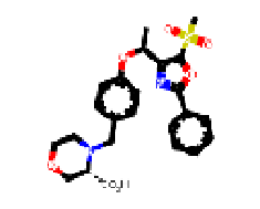 CC(Oc1ccc(CN2CCOC[C@H]2C(=O)O)cc1)c1nc(-c2ccccc2)oc1S(C)(=O)=O